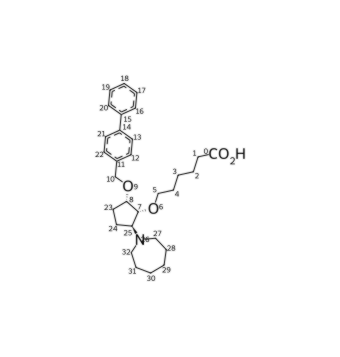 O=C(O)CCCCCO[C@H]1[C@@H](OCc2ccc(-c3ccccc3)cc2)CC[C@@H]1N1CCCCCC1